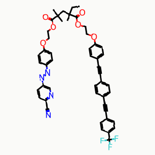 CCC(C)(CC(C)(C)C(=O)OCCOc1ccc(/N=N/c2ccc(C#N)nc2)cc1)C(=O)OCCOc1ccc(C#Cc2ccc(C#Cc3ccc(C(F)(F)F)cc3)cc2)cc1